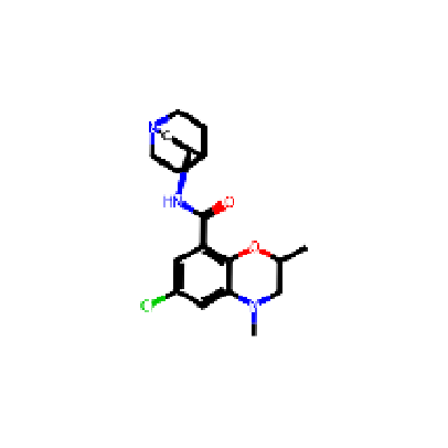 CC1CN(C)c2cc(Cl)cc(C(=O)NC3CN4CCC3CC4)c2O1